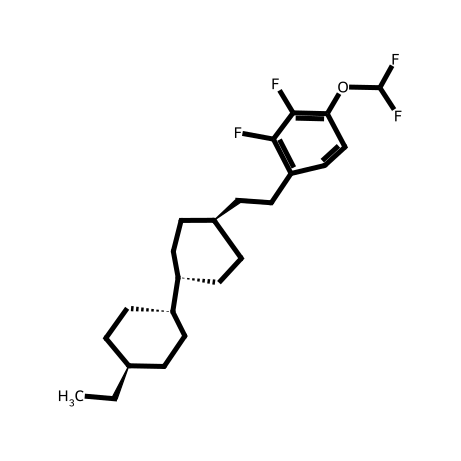 CC[C@H]1CC[C@H]([C@H]2CC[C@H](CCc3ccc(OC(F)F)c(F)c3F)CC2)CC1